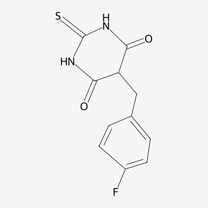 O=C1NC(=S)NC(=O)C1Cc1ccc(F)cc1